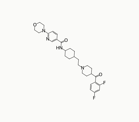 O=C(NC1CCC(CCN2CCC(C(=O)c3ccc(F)cc3F)CC2)CC1)c1ccc(N2CCOCC2)nc1